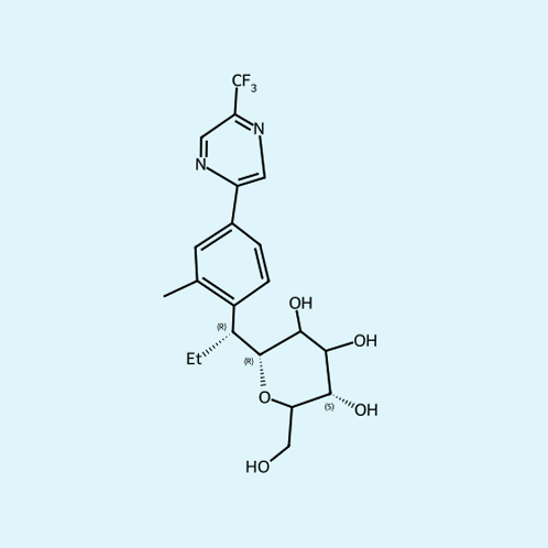 CC[C@H](c1ccc(-c2cnc(C(F)(F)F)cn2)cc1C)[C@H]1OC(CO)[C@@H](O)C(O)C1O